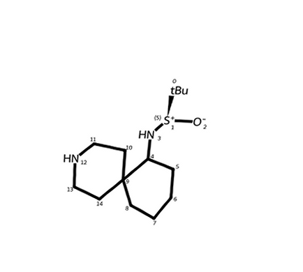 CC(C)(C)[S@@+]([O-])NC1CCCCC12CCNCC2